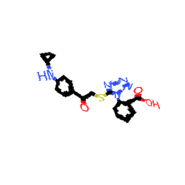 O=C(CSc1nnnn1-c1ccccc1C(=O)O)c1ccc(NC2CC2)cc1